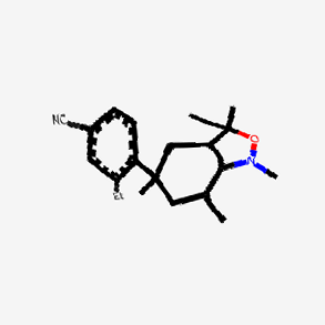 CCc1cc(C#N)ccc1C1(C)CC(C)C2C(C1)C(C)(C)ON2C